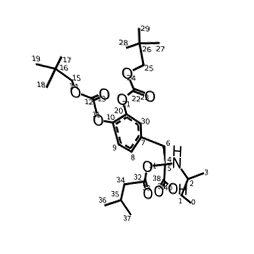 CCC(C)N[C@@](Cc1ccc(OC(=O)OCC(C)(C)C)c(OC(=O)OCC(C)(C)C)c1)(OC(=O)CC(C)C)C(=O)O